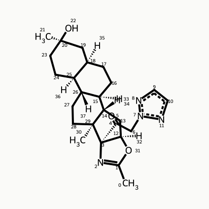 CC1=N[C@]2(C(=O)Cn3nccn3)[C@@H](C[C@H]3[C@@H]4CC[C@@H]5C[C@](C)(O)CC[C@@H]5[C@H]4CC[C@@]32C)O1